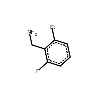 CCc1cccc(F)c1CN